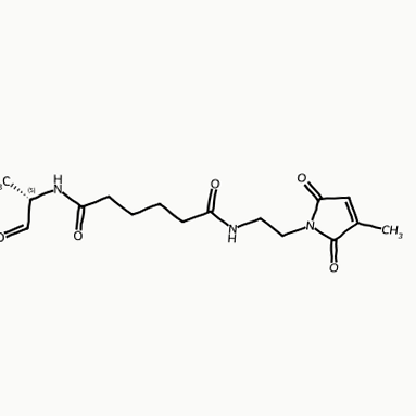 CC1=CC(=O)N(CCNC(=O)CCCCC(=O)N[C@@H](C)C=O)C1=O